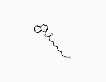 CCCCCCCCCCCCCCCCCC(=O)O[n+]1cccc2ccccc21